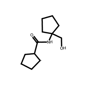 O=C(NC1(CO)CCCC1)C1[CH]CCC1